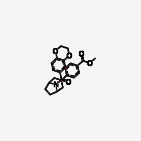 COC(=O)c1ccc(C2CC3CCC(C2)N3C(=O)c2ccc3c(c2)OCCO3)cc1